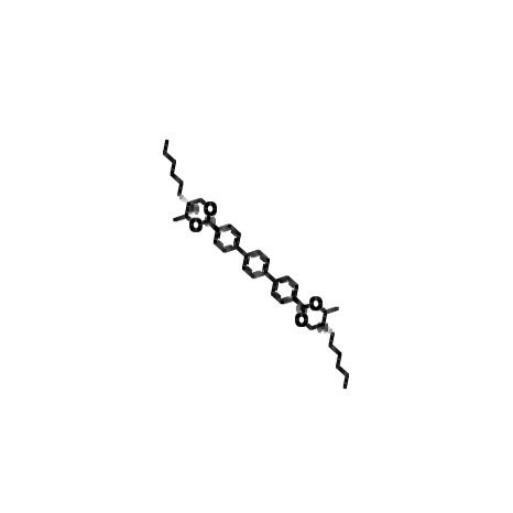 CCCCCC[C@@H]1CO[C@@H](c2ccc(-c3ccc(-c4ccc([C@@H]5OC[C@@H](CCCCCC)C(C)O5)cc4)cc3)cc2)OC1C